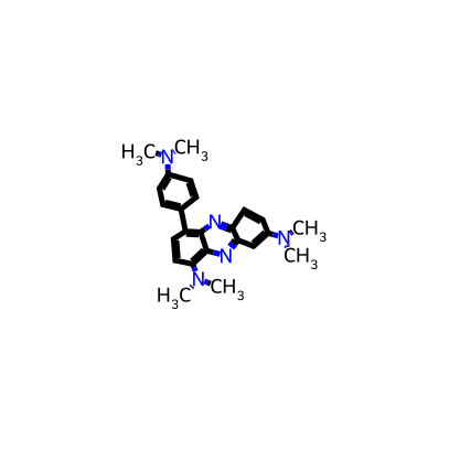 CN(C)c1ccc(-c2ccc(N(C)C)c3nc4cc(N(C)C)ccc4nc23)cc1